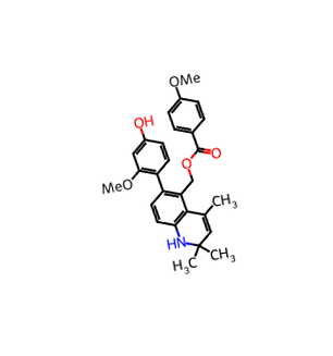 COc1ccc(C(=O)OCc2c(-c3ccc(O)cc3OC)ccc3c2C(C)=CC(C)(C)N3)cc1